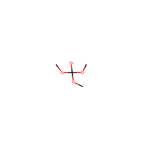 COC([O])(OC)OC